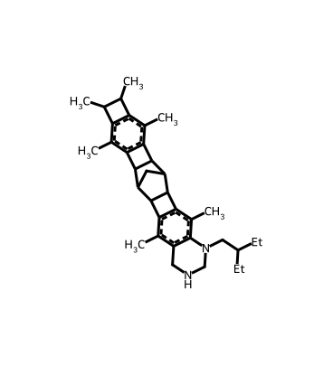 CCC(CC)CN1CNCc2c(C)c3c(c(C)c21)C1C2CC(C31)C1c3c(C)c4c(c(C)c3C21)C(C)C4C